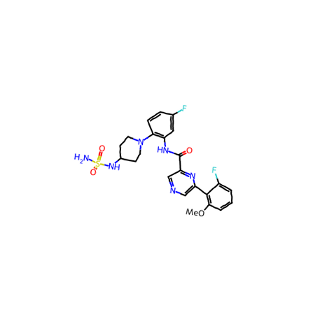 COc1cccc(F)c1-c1cncc(C(=O)Nc2cc(F)ccc2N2CCC(NS(N)(=O)=O)CC2)n1